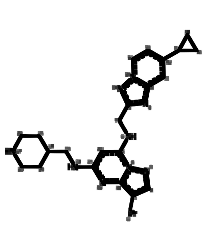 CC(C)c1cnn2c(NCc3nc4cc(C5CC5)ccn4n3)cc(NCC3CCNCC3)nc12